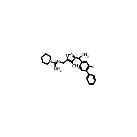 Cc1c(C(C)c2ccc(-c3ccccc3)c(F)c2)noc1C/N=C(\N)N1CCCCC1